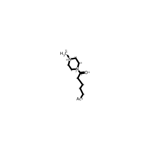 CC(=O)CCCCC(=O)N1CCN(C)CC1